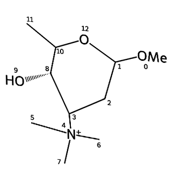 COC1CC([N+](C)(C)C)[C@H](O)C(C)O1